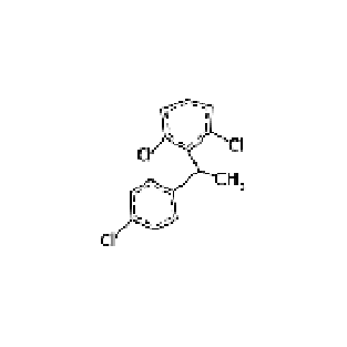 C[C](c1ccc(Cl)cc1)c1c(Cl)cccc1Cl